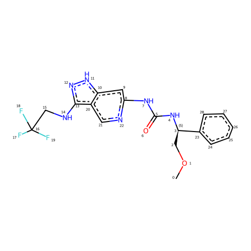 COC[C@@H](NC(=O)Nc1cc2[nH]nc(NCC(F)(F)F)c2cn1)c1ccccc1